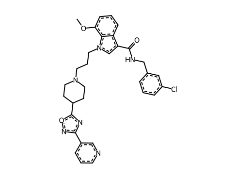 COc1cccc2c(C(=O)NCc3cccc(Cl)c3)cn(CCCN3CCC(c4nc(-c5cccnc5)no4)CC3)c12